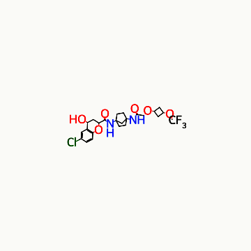 O=C(CO[C@H]1C[C@@H](OC(F)(F)F)C1)NC12CCC(NC(=O)C3CC(O)c4cc(Cl)ccc4O3)(CC1)C2